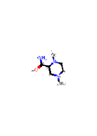 CC(=O)N1CCN(C(C)(C)C)CC1C(N)=O